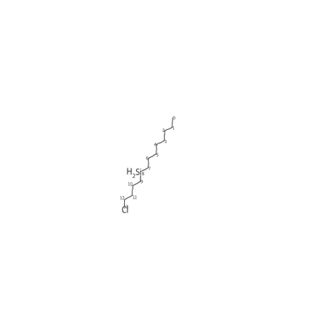 CCCCCCCC[SiH2]CCCCCl